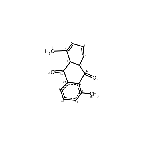 CC1=CC=CC2C(=O)c3c(C)cccc3C(=O)C12